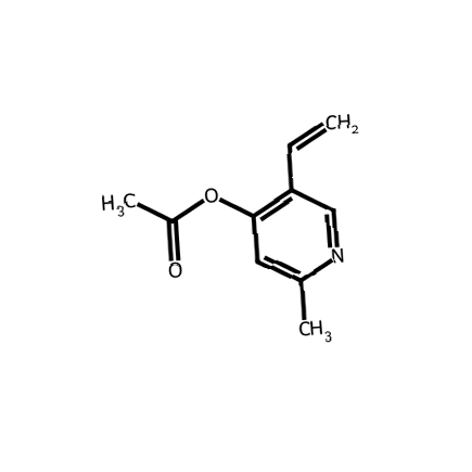 C=Cc1cnc(C)cc1OC(C)=O